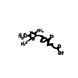 Cc1nc(C)c(COC(=O)CCCC(=O)O)nc1C